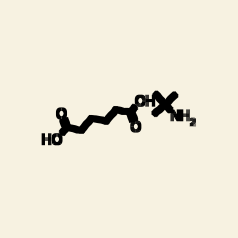 CC(C)(C)N.O=C(O)CCCCC(=O)O